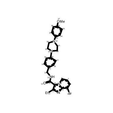 CCc1nc2c(Br)cccn2c1C(=O)NCc1ccc(N2CCN(c3ccc(OC)cc3)CC2)cc1